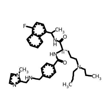 CCCN(CCC)CCC[C@H](NC(=O)c1ccc(CNCc2nccn2C)cc1)C(=O)NC(C)c1ccc(F)c2ccccc12